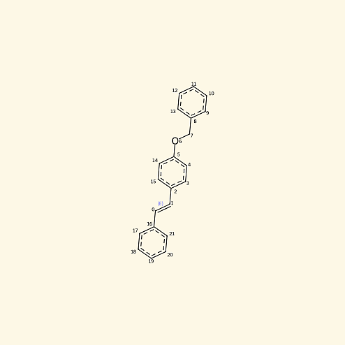 C(=C\c1ccc(OCc2ccccc2)cc1)/c1ccccc1